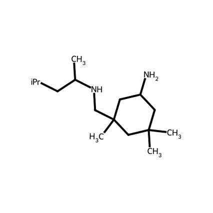 CC(C)CC(C)NCC1(C)CC(N)CC(C)(C)C1